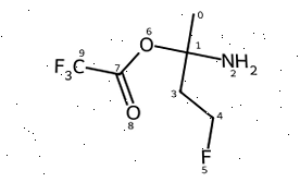 CC(N)(CCF)OC(=O)C(F)(F)F